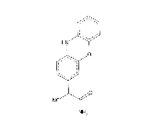 N#CC(C(N)=O)c1ccc2c(c1)Oc1ccccc1N2